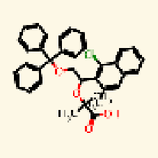 Cc1cc2ccccc2c(Cl)c1C(COC(c1ccccc1)(c1ccccc1)c1ccccc1)OC(C)(C)C(=O)O